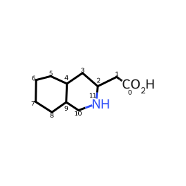 O=C(O)CC1CC2CCCCC2CN1